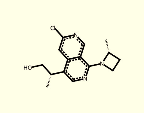 C[C@H](CO)c1cnc(N2CC[C@H]2C)c2cnc(Cl)cc12